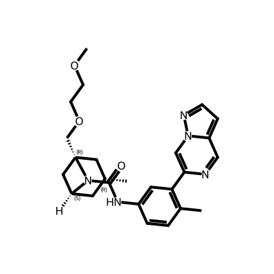 COCCOC[C@@]12C[C@H](C)C[C@@H](C1)N2C(=O)Nc1ccc(C)c(-c2cn3nccc3cn2)c1